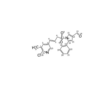 Cc1cc(C=CCS(=O)(=O)n2cc(C=O)cc2-c2ccccc2)cnc1Cl